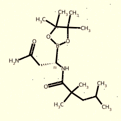 CC(C)CC(C)(C)C(=O)N[C@H](CC(N)=O)B1OC(C)(C)C(C)(C)O1